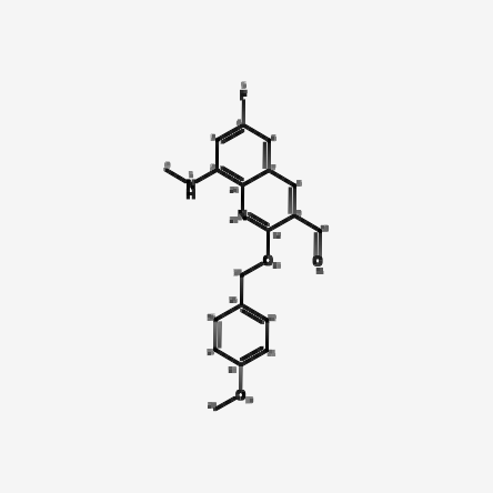 CNc1cc(F)cc2cc(C=O)c(OCc3ccc(OC)cc3)nc12